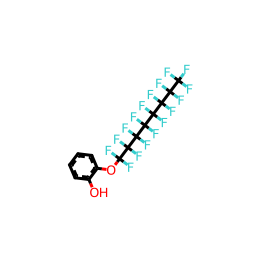 Oc1ccccc1OC(F)(F)C(F)(F)C(F)(F)C(F)(F)C(F)(F)C(F)(F)C(F)(F)C(F)(F)F